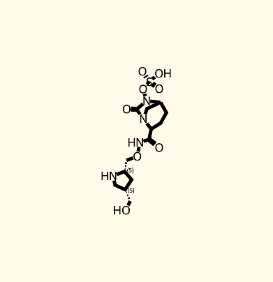 O=C(NOC[C@@H]1C[C@H](CO)CN1)C1CCC2CN1C(=O)N2OS(=O)(=O)O